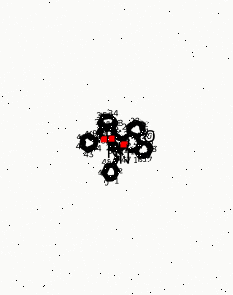 c1ccc(-c2nc(-c3ccccc3)nc(-c3cccc4oc5cccc(-c6cccc7c6c6ccccc6n7-c6ccccc6)c5c34)n2)cc1